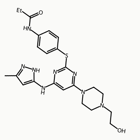 CCC(=O)Nc1ccc(Sc2nc(Nc3cc(C)n[nH]3)cc(N3CCN(CCO)CC3)n2)cc1